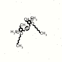 CCCCCCCCOc1c(CN2CCN(Cc3cc(CC)cc(OC)c3OCCCCCCCC)CC2)cc(CC)cc1OC